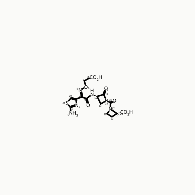 Nc1nc(C(=NOCC(=O)O)C(=O)N[C@H]2CN(C(=O)N3CC[C@H]3C(=O)O)C2=O)cs1